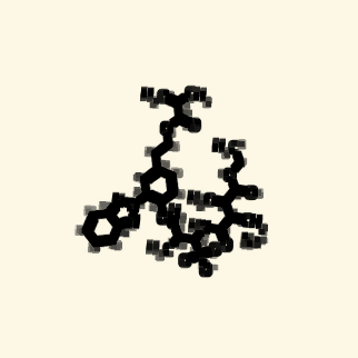 C=C(C(=C)C(=O)OCC)C(=O)NC(C(C)C)S(=O)(=O)[O-].C=C(C)C(=O)OCCc1ccc(O)c(-n2nc3ccccc3n2)c1.[Na+]